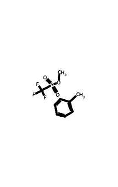 COS(=O)(=O)C(F)(F)F.Cc1ccccc1